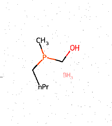 B.CCCCP(C)CO